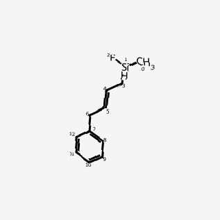 C[SiH](F)CC=CCc1ccccc1